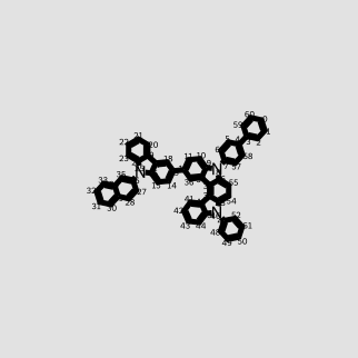 c1ccc(-c2ccc(-n3c4ccc(-c5ccc6c(c5)c5ccccc5n6-c5ccc6ccccc6c5)cc4c4c5c6ccccc6n(-c6ccccc6)c5ccc43)cc2)cc1